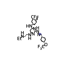 CCNCCNc1cc(Nc2ccc(F)c(C(F)(F)F)c2)nc(N/N=C/c2ccc(OC(F)(F)F)cc2)n1